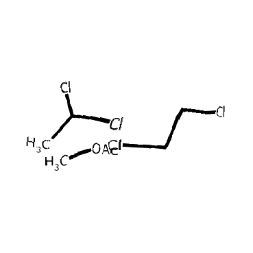 CC(Cl)Cl.COC(C)=O.ClCCCl